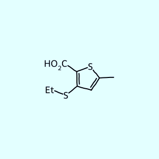 CCSc1cc(C)sc1C(=O)O